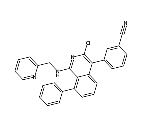 N#Cc1cccc(-c2c(Cl)nc(NCc3ccccn3)c3c(-c4ccccc4)cccc23)c1